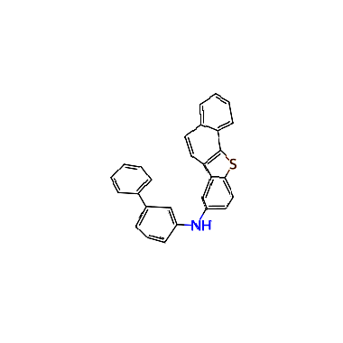 c1ccc(-c2cccc(Nc3ccc4sc5c6ccccc6ccc5c4c3)c2)cc1